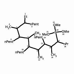 CCCCCC(CC)C(C)C(CCCCC)C(C)C(CCCCC)C(C)C(CCCCC)C(C)C(CCC)[Si](OC)(OC)OC